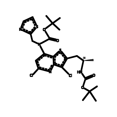 C[C@@H](Cc1sc2c(N(Cc3nccs3)C(=O)OC(C)(C)C)cc(Cl)nc2c1Cl)NC(=O)OC(C)(C)C